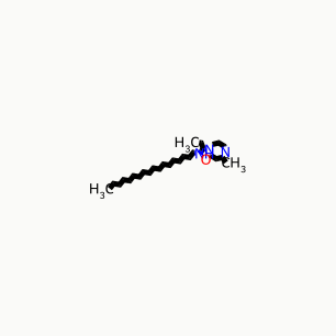 CCCCCCCCCCCCCCCCCCNC(CC)N1CCC/N=C(/C)CC1=O